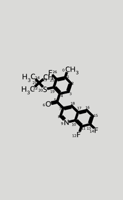 Cc1ccc(C(=O)c2cnc3c(F)c(F)ccc3c2)c(SC(C)(C)C)c1F